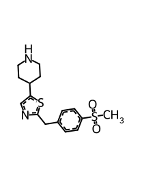 CS(=O)(=O)c1ccc(Cc2ncc(C3CCNCC3)s2)cc1